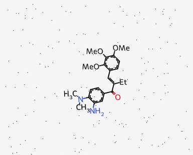 CC/C(=C\c1ccc(OC)c(OC)c1OC)C(=O)c1ccc(N(C)C)c(N)c1